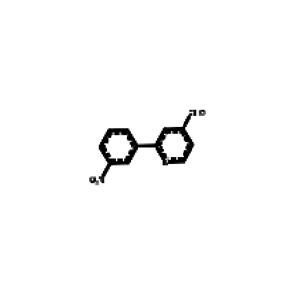 O=Cc1ccnc(-c2cccc([N+](=O)[O-])c2)c1